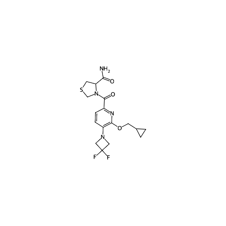 NC(=O)C1CSCN1C(=O)c1ccc(N2CC(F)(F)C2)c(OCC2CC2)n1